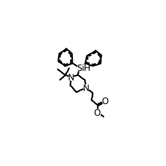 COC(=O)CCN1CCN(C(C)(C)C)C([SiH](c2ccccc2)c2ccccc2)C1